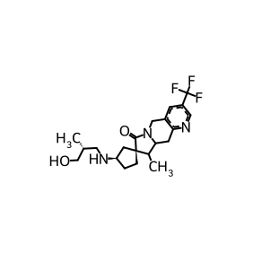 CC1C2Cc3ncc(C(F)(F)F)cc3CN2C(=O)[C@]12CC[C@@H](NC[C@@H](C)CO)C2